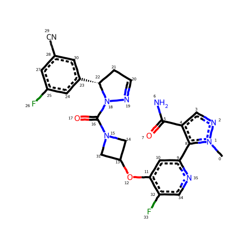 Cn1ncc(C(N)=O)c1-c1cc(OC2CN(C(=O)N3N=CC[C@H]3c3cc(F)cc(C#N)c3)C2)c(F)cn1